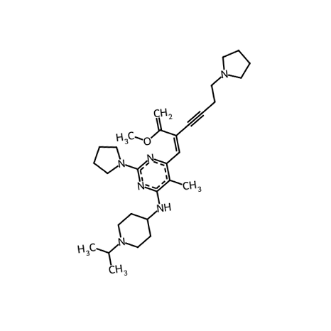 C=C(OC)/C(C#CCCN1CCCC1)=C\c1nc(N2CCCC2)nc(NC2CCN(C(C)C)CC2)c1C